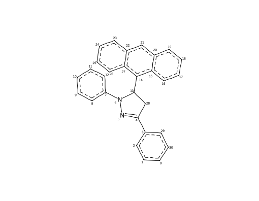 c1ccc(C2=NN(c3ccccc3)C(c3c4ccccc4cc4ccccc34)C2)cc1